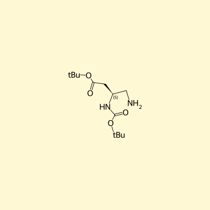 CC(C)(C)OC(=O)C[C@@H](CN)NC(=O)OC(C)(C)C